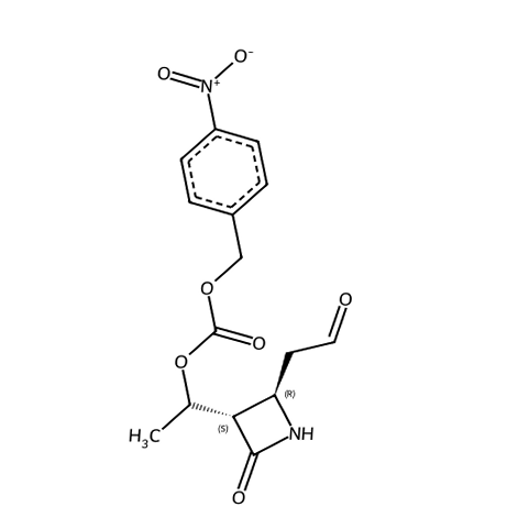 CC(OC(=O)OCc1ccc([N+](=O)[O-])cc1)[C@H]1C(=O)N[C@@H]1CC=O